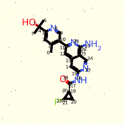 Cc1cc(C(C)(C)O)ncc1-c1cc2cc(NC(=O)[C@H]3C[C@H]3F)ncc2c(N)n1